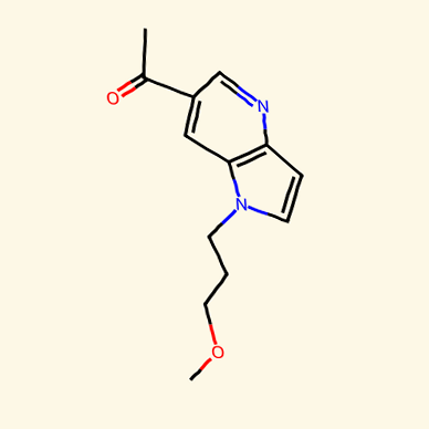 COCCCn1ccc2ncc(C(C)=O)cc21